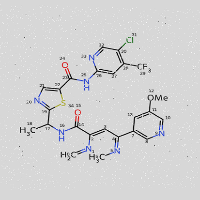 C=N/C(=C\C(=N/C)c1cncc(OC)c1)C(=O)NC(C)c1ncc(C(=O)Nc2cc(C(F)(F)F)c(Cl)cn2)s1